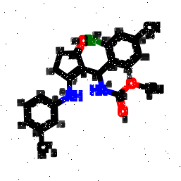 CC(C)(C)OC(=O)NC(C1=C(Nc2cccc(C(F)(F)F)c2)CCC1=O)c1ccc(C#N)cc1Br